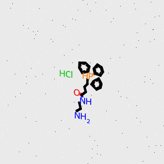 Cl.NCCCNC(=O)CCCC[PH](c1ccccc1)(c1ccccc1)c1ccccc1